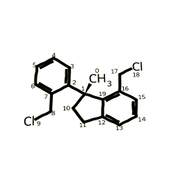 C[C@]1(c2ccccc2CCl)CCc2cccc(CCl)c21